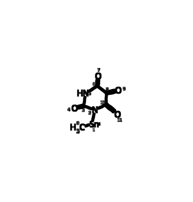 [CH3][Sn][N]1C(=O)NC(=O)C(=O)C1=O